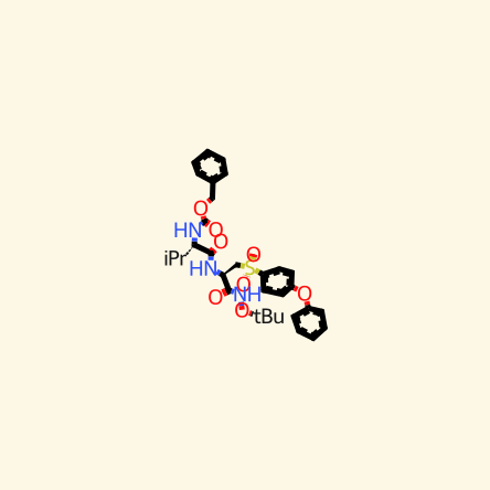 CC(C)[C@H](NC(=O)OCc1ccccc1)C(=O)N[C@@H](CS(=O)(=O)c1ccc(Oc2ccccc2)cc1)C(=O)NOC(C)(C)C